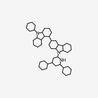 C1CCC(C2CC(C3CCCCC3)NC(N3C4CCCCC4C4CC(C5CCCC6C5C5CCCCC5N6C5CCCCC5)CCC43)C2)CC1